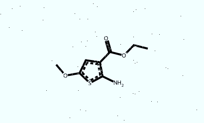 CCOC(=O)c1cc(OC)sc1N